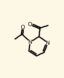 CC(=O)C1N=CC=CN1C(C)=O